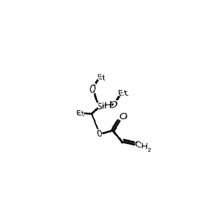 C=CC(=O)OC(CC)[SiH](OCC)OCC